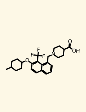 CC1CCC(Oc2ccc3cccc(CN4CCC(C(=O)O)CC4)c3c2C(F)(F)F)CC1